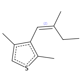 CC/C(C)=C\c1c(C)csc1C